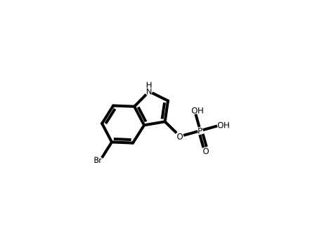 O=P(O)(O)Oc1c[nH]c2ccc(Br)cc12